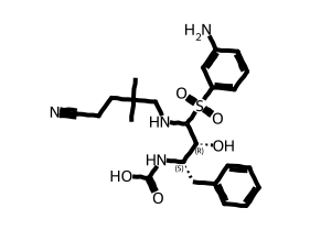 CC(C)(CCC#N)CNC([C@H](O)[C@H](Cc1ccccc1)NC(=O)O)S(=O)(=O)c1cccc(N)c1